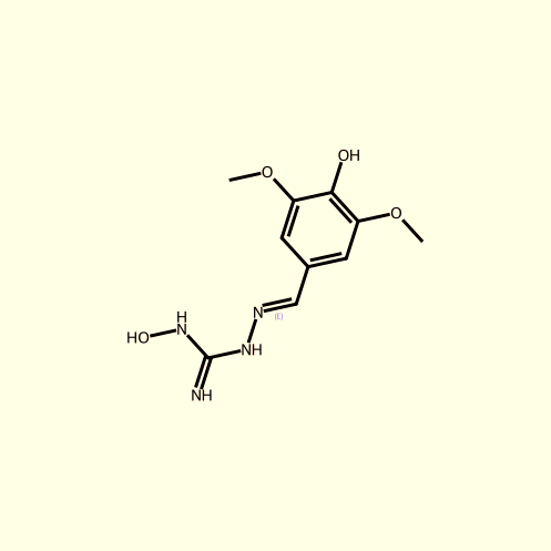 COc1cc(/C=N/NC(=N)NO)cc(OC)c1O